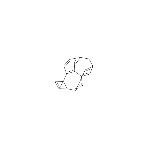 C1=C2C3c4cc5cc(n4)-c4cc(ccc4C123)C5